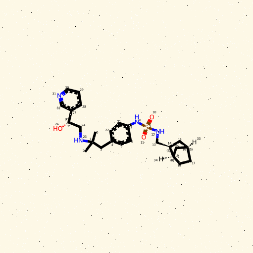 CC(C)(Cc1ccc(NS(=O)(=O)NC[C@H]2C[C@H]3CC[C@@H]2C3)cc1)NC[C@H](O)c1cccnc1